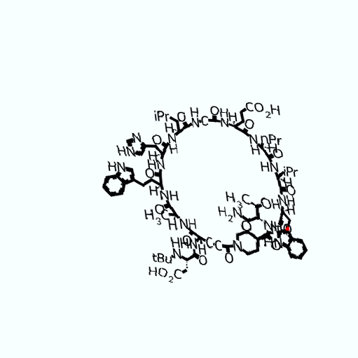 CCC[C@@H]1NC(=O)[C@H](CCC(=O)O)NC(=O)CNC(=O)[C@H](CC(C)C)NC(=O)[C@H](Cc2c[nH]cn2)NC(=O)[C@H](CCc2c[nH]c3ccccc23)NC(=O)[C@H](C)NC(=O)[C@@H](NC(=O)[C@H](CC(=O)O)NC(C)(C)C)CCC(=O)N2CCC(C(=O)N[C@H](C(N)=O)[C@@H](C)O)(CC2)NC(=O)[C@H](Cc2c[nH]c3ccccc23)NC(=O)[C@H](C(C)C)NC1=O